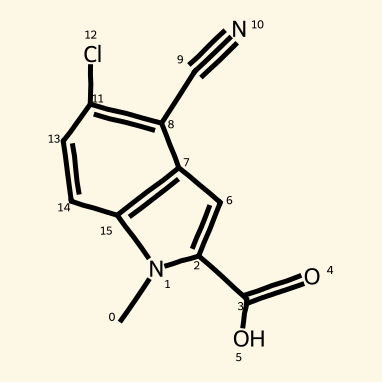 Cn1c(C(=O)O)cc2c(C#N)c(Cl)ccc21